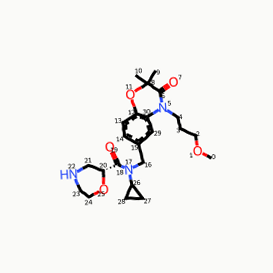 COCCCN1C(=O)C(C)(C)Oc2ccc(CN(C(=O)[C@H]3CNCCO3)C3CC3)cc21